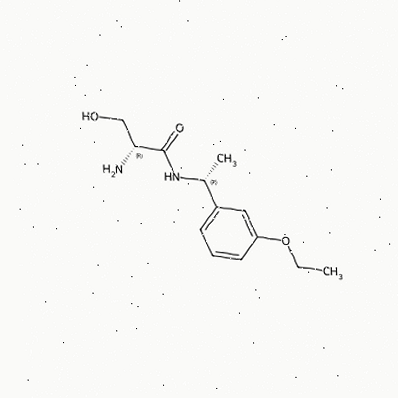 CCOc1cccc([C@@H](C)NC(=O)[C@H](N)CO)c1